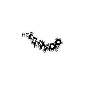 CC1NC(N2CCN(CC(=O)O)CC2)=NC=C1N1C[C@]2(CC[C@](c3ccccc3)(N(C)C)CC2)NC1=O